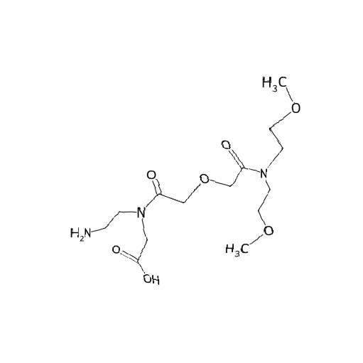 COCCN(CCOC)C(=O)COCC(=O)N(CCN)CC(=O)O